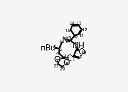 C=C1CC2(CC(CCCC)C/N=C(/C3C=CC=CC3)NC1=O)OCCO2